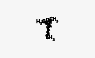 CCCCCCCN1C[C@@H](C)O[C@@H](C)C1